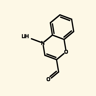 CN1C=C(C=O)Oc2ccccc21.[LiH]